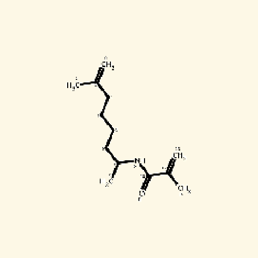 C=C(C)CCCCC(C)NC(=O)C(=C)C